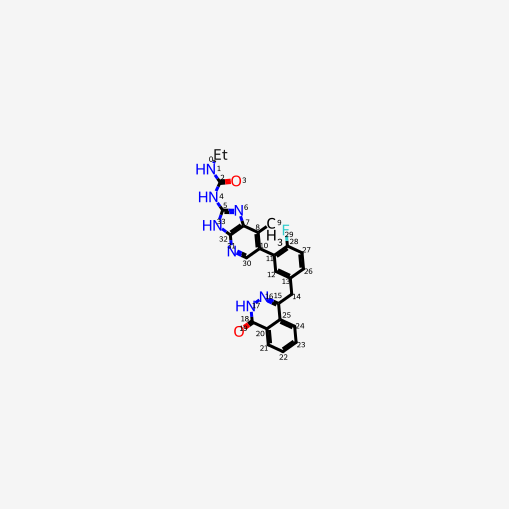 CCNC(=O)Nc1nc2c(C)c(-c3cc(Cc4n[nH]c(=O)c5ccccc45)ccc3F)cnc2[nH]1